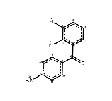 CCc1cccc(C(=O)c2ccc(N)cc2)c1CC